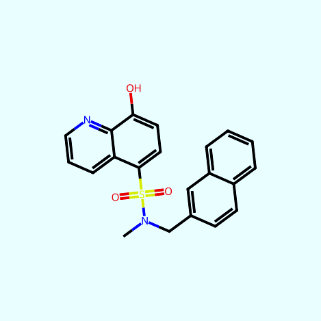 CN(Cc1ccc2ccccc2c1)S(=O)(=O)c1ccc(O)c2ncccc12